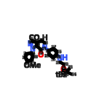 COc1ccc(-n2nc(C(=O)O)c3c2C(=O)N(c2ccc(NCCO[Si](C)(C)C(C)(C)C)cc2)CC3)cc1